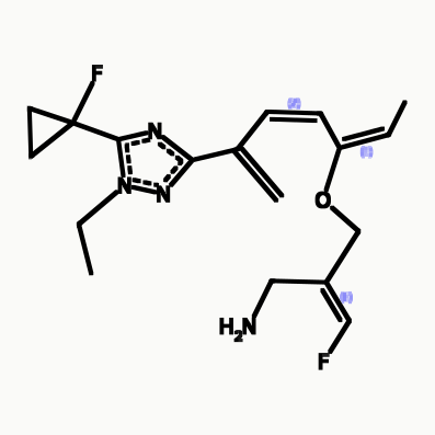 C=C(/C=C\C(=C/C)OC/C(=C/F)CN)c1nc(C2(F)CC2)n(CC)n1